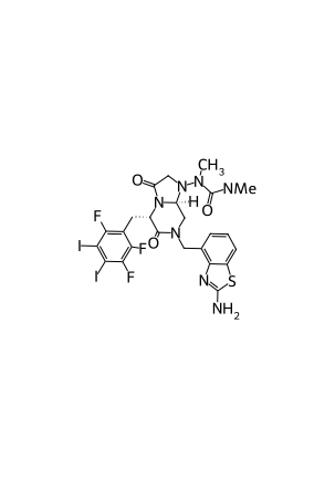 CNC(=O)N(C)N1CC(=O)N2[C@@H](Cc3c(F)c(F)c(I)c(I)c3F)C(=O)N(Cc3cccc4sc(N)nc34)C[C@@H]21